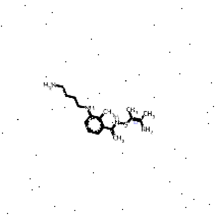 C=C(NS/C(C)=C(/C)N)c1cccc(NCCCCN)c1C